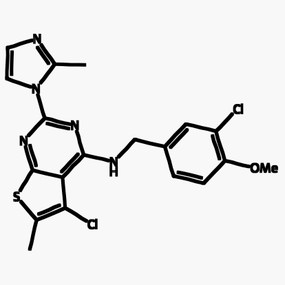 COc1ccc(CNc2nc(-n3ccnc3C)nc3sc(C)c(Cl)c23)cc1Cl